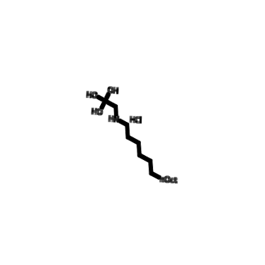 CCCCCCCCCCCCCCNCC(O)(O)O.Cl